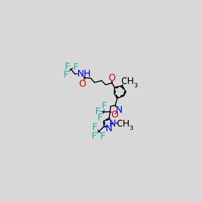 Cc1ccc(C2=NOC(c3cc(C(F)(F)F)nn3C)(C(F)(F)F)C2)cc1C(=O)CCCCC(=O)NCC(F)(F)F